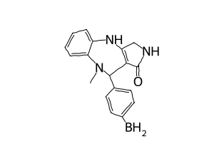 Bc1ccc(C2C3=C(CNC3=O)Nc3ccccc3N2C)cc1